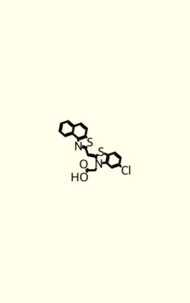 O=C(O)CN1/C(=C/c2nc3c(ccc4ccccc43)s2)Sc2ccc(Cl)cc21